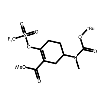 COC(=O)C1=C(OS(=O)(=O)C(F)(F)F)CCC(N(C)C(=O)OC(C)(C)C)C1